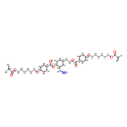 C=C(C)C(=O)OCCCCCCOc1ccc(C(=O)OCCc2ccc(OC(=O)c3ccc(OCCCCCCOC(=O)C(=C)C)cc3)c(C=N)c2)cc1